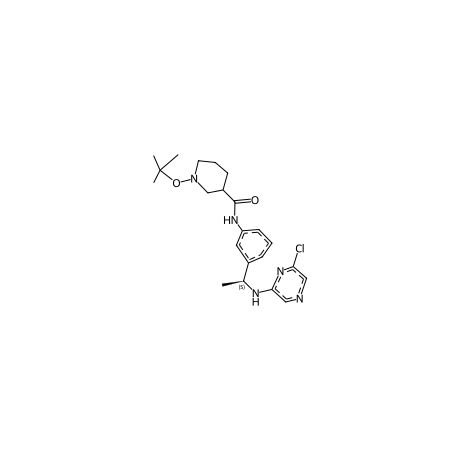 C[C@H](Nc1cncc(Cl)n1)c1cccc(NC(=O)C2CCCN(OC(C)(C)C)C2)c1